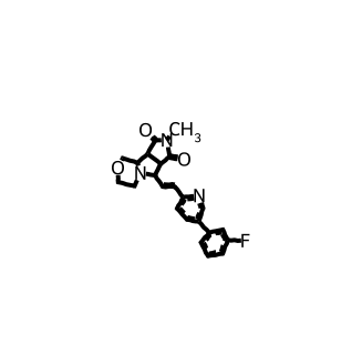 CN1C(=O)C2C(C1=O)C1COCCN1C2C=Cc1ccc(-c2cccc(F)c2)cn1